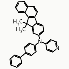 CC1(C)c2cc(N(c3ccncc3)c3ccc(-c4ccccc4)cc3)ccc2-c2ccc3ccccc3c21